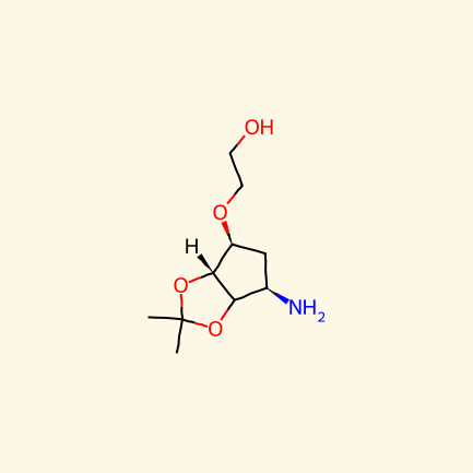 CC1(C)OC2[C@H](N)C[C@H](OCCO)[C@H]2O1